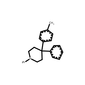 Cc1ccc(C2(c3ccccc3)CCN(C(C)C)CC2)cc1